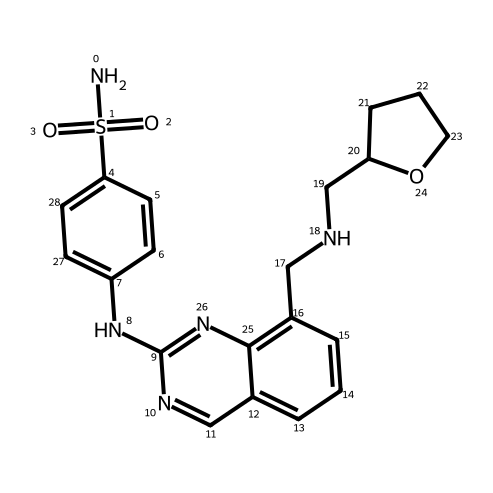 NS(=O)(=O)c1ccc(Nc2ncc3cccc(CNCC4CCCO4)c3n2)cc1